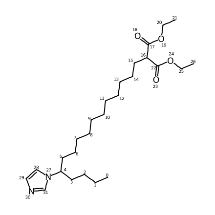 CCCCC(CCCCCCCCCCCC(C(=O)OCC)C(=O)OCC)n1ccnc1